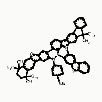 CC(C)(C)c1ccc(N2B3c4cc5sc6ccccc6c5cc4-n4c5cc6c(cc5c5ccc(c3c54)-c3cc4oc5cc7c(cc5c4cc32)C(C)(C)CCC7(C)C)-c2ccccc2C6(C)C)cc1